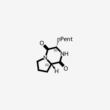 CCCCC[C@@H]1NC(=O)[C@@H]2CCCN2C1=O